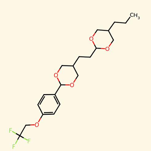 CCCC1COC(CCC2COC(c3ccc(OCC(F)(F)F)cc3)OC2)OC1